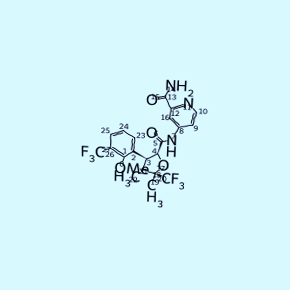 COc1c([C@H]2[C@@H](C(=O)Nc3ccnc(C(N)=O)c3)O[C@@](C)(C(F)(F)F)[C@H]2C)cccc1C(F)(F)F